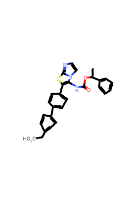 CC(OC(=O)Nc1c(-c2ccc(-c3ccc(CC(=O)O)cc3)cc2)sc2nccn12)c1ccccc1